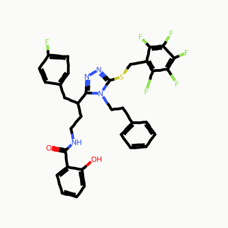 O=C(NCCC(Cc1ccc(F)cc1)c1nnc(SCc2c(F)c(F)c(F)c(F)c2F)n1CCc1ccccc1)c1ccccc1O